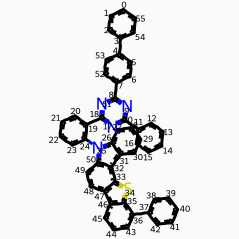 c1ccc(-c2ccc(-c3nc(-c4ccccc4)nc(-c4ccccc4-n4c5ccccc5c5c6sc7c(-c8ccccc8)cccc7c6ccc54)n3)cc2)cc1